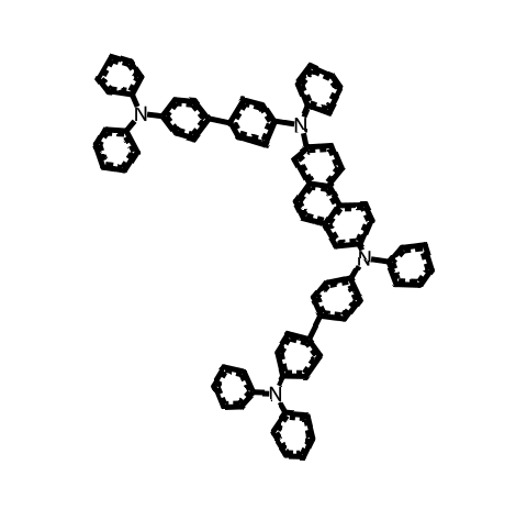 c1ccc(N(c2ccccc2)c2ccc(-c3ccc(N(c4ccccc4)c4ccc5c(ccc6cc(N(c7ccccc7)c7ccc(-c8ccc(N(c9ccccc9)c9ccccc9)cc8)cc7)ccc65)c4)cc3)cc2)cc1